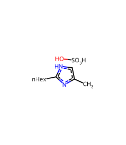 CCCCCCc1nc(C)c[nH]1.O=S(=O)(O)O